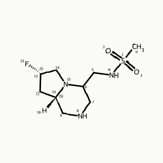 CS(=O)(=O)NCC1CNC[C@@H]2C[C@H](F)CN12